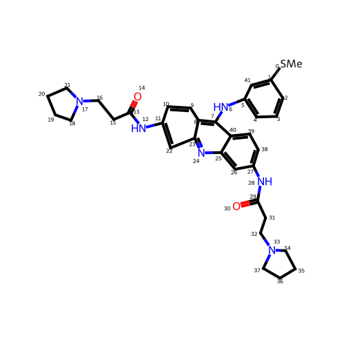 CSc1cccc(Nc2c3ccc(NC(=O)CCN4CCCC4)cc3nc3cc(NC(=O)CCN4CCCC4)ccc23)c1